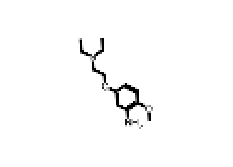 CCN(CC)CCOc1ccc(OC)c(N)c1